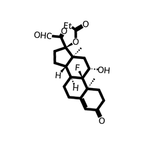 CCC(=O)O[C@]1(C(=O)C=O)CC[C@H]2[C@@H]3CCC4=CC(=O)CC[C@]4(C)[C@@]3(F)[C@@H](O)C[C@@]21C